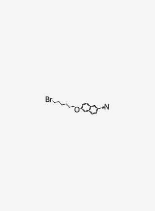 N#Cc1ccc2cc(OCCCCCCBr)ccc2c1